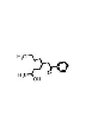 CCCCC(CCC(C)O)CC(=O)c1ccccc1